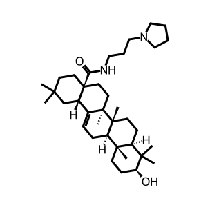 CC1(C)CC[C@]2(C(=O)NCCCN3CCCC3)CC[C@]3(C)C(=CC[C@@H]4[C@@]5(C)CC[C@H](O)C(C)(C)[C@@H]5CC[C@]43C)[C@@H]2C1